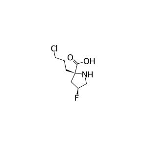 O=C(O)[C@@]1(CCCCl)C[C@H](F)CN1